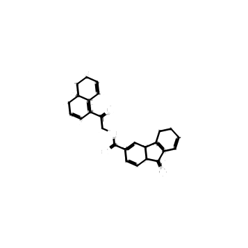 O=C(COC(=O)C1=CC2C3=C(C=CCC3)C(=O)C2C=C1)C1=C2C=CCCC2CC=C1